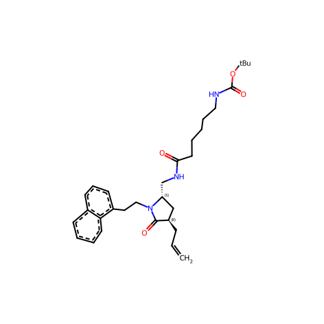 C=CC[C@@H]1C[C@@H](CNC(=O)CCCCCNC(=O)OC(C)(C)C)N(CCc2cccc3ccccc23)C1=O